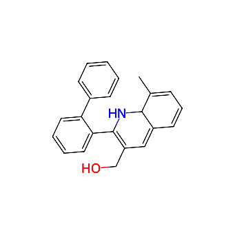 CC1=CC=CC2=CC(CO)=C(c3ccccc3-c3ccccc3)NC12